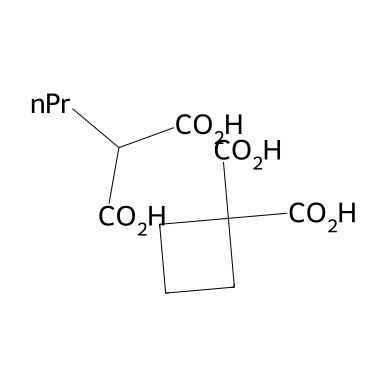 CCCC(C(=O)O)C(=O)O.O=C(O)C1(C(=O)O)CCC1